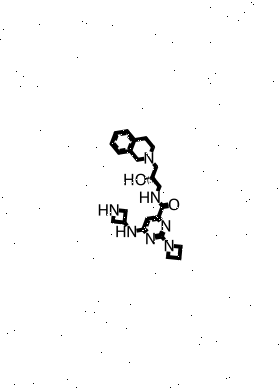 O=C(NC[C@H](O)CN1CCc2ccccc2C1)c1cc(NC2CNC2)nc(N2CCC2)n1